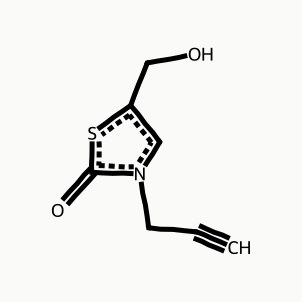 C#CCn1cc(CO)sc1=O